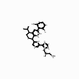 CC(C)C1CCC(c2cncc(-c3ncnn3C[C@H](C)CO)n2)c2nnc(-c3c(F)cccc3F)cc21